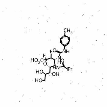 Cc1ccc(NC(=O)N[C@H]2C(F)C(F)(C(=O)O)O[C@@H]([C@H](O)[C@H](O)CO)[C@@H]2NC(=O)C(C)C)cc1